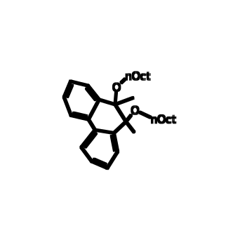 CCCCCCCCOC1(C)c2ccccc2-c2ccccc2C1(C)OCCCCCCCC